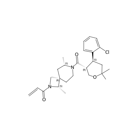 C=CC(=O)N1C[C@]2(CCN(C(=O)[C@H]3COC(C)(C)C[C@@H]3c3ccccc3Cl)[C@@H](C)C2)[C@@H]1C